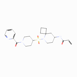 C=CC(=O)NC1CCN(S(=O)(=O)C2CCN(C(=O)c3ccccn3)CC2)C2(CCC2)C1